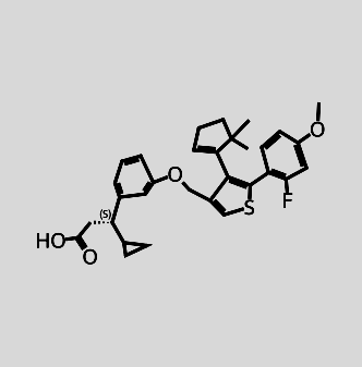 COc1ccc(-c2scc(COc3cccc([C@@H](CC(=O)O)C4CC4)c3)c2C2=CCCC2(C)C)c(F)c1